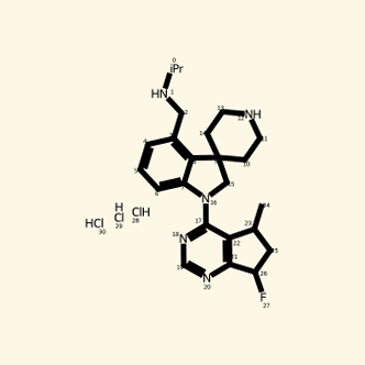 CC(C)NCc1cccc2c1C1(CCNCC1)CN2c1ncnc2c1C(C)CC2F.Cl.Cl.Cl